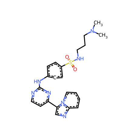 CN(C)CCCNS(=O)(=O)c1ccc(Nc2nccc(-c3cnc4ccccn34)n2)cc1